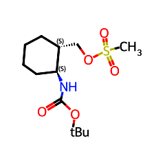 CC(C)(C)OC(=O)N[C@H]1CCCC[C@@H]1COS(C)(=O)=O